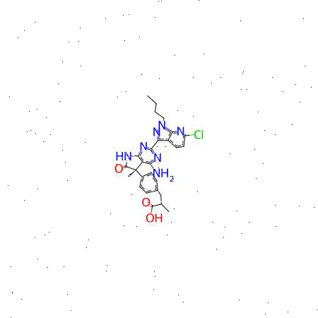 CCCCn1nc(-c2nc(N)c3c(n2)NC(=O)[C@@]3(C)c2ccc(CC(C)C(=O)O)cc2)c2ccc(Cl)nc21